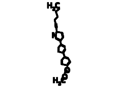 CCCCCC#Cc1ccc(-c2ccc(-c3ccc(OCOC)cc3)cc2)cn1